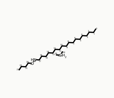 CCCCCCCCCCCCCCCCCCNOCCCC.C[SiH2]C